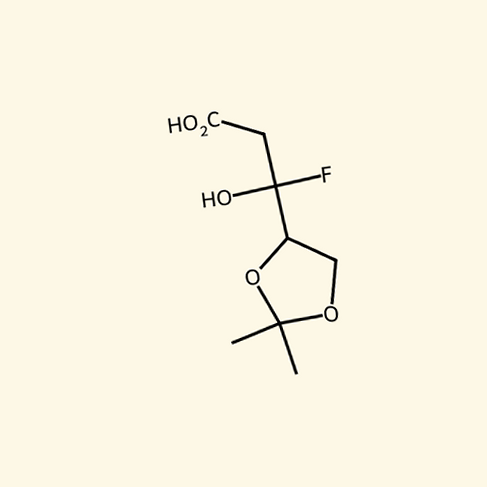 CC1(C)OCC(C(O)(F)CC(=O)O)O1